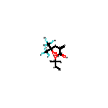 C=C(CC(O)(C(F)(F)F)C(F)(F)F)C(=O)OC(C)(C)CC